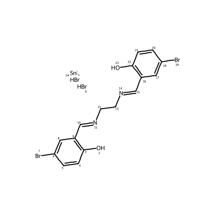 Br.Br.Oc1ccc(Br)cc1C=NCCN=Cc1cc(Br)ccc1O.[Sn]